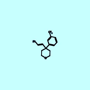 CC(C)/C=C/C1(c2cccc(C(F)(F)F)c2)CCOCC1